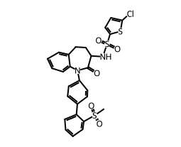 CS(=O)(=O)c1ccccc1-c1ccc(N2C(=O)C(NS(=O)(=O)c3ccc(Cl)s3)CCc3ccccc32)cc1